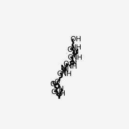 C=C1C[C@H]2C=Nc3cc(OCCCC(=O)Nc4cn(C)c(C(=O)Nc5cc(C(=O)Nc6cc(C(=O)NCCCO)n(C)c6)n(C)c5)n4)c(OC)cc3C(=O)N2C1